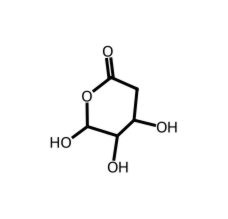 O=C1CC(O)C(O)C(O)O1